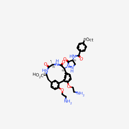 CCCCCCCCc1ccc(C(=O)N[C@H]2CNN([C@@H]3C(=O)N[C@@H](C)C(=O)N[C@H](C(=O)O)Cc4ccc(OCCN)c(c4)-c4cc3ccc4OCCN)C2=O)cc1